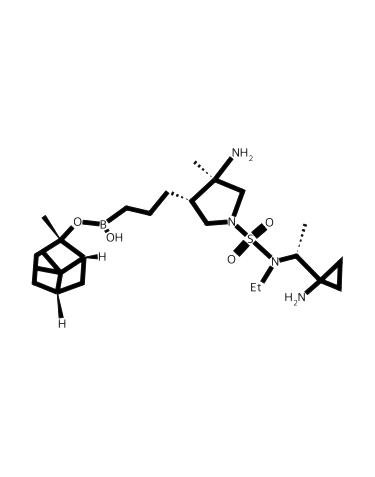 CCN([C@H](C)C1(N)CC1)S(=O)(=O)N1C[C@H](CCCB(O)O[C@@]2(C)CC[C@H]3C[C@@H]2C3(C)C)[C@@](C)(N)C1